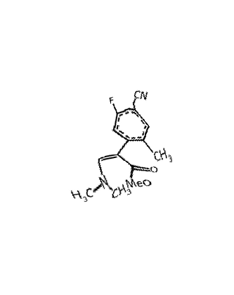 COC(=O)C(=CN(C)C)c1cc(F)c(C#N)cc1C